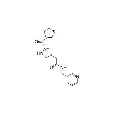 O=C(CC1CN[C@H](C(=O)N2CCSC2)C1)NCc1cccnc1